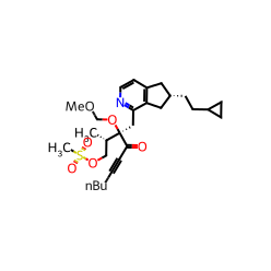 CCCCC#CC(=O)[C@](Cc1nccc2c1C[C@@H](CCC1CC1)C2)(OCOC)[C@@H](C)COS(C)(=O)=O